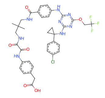 CC(C)(CNC(=O)C(=O)Nc1ccc(CC(=O)O)cc1)CNC(=O)c1ccc(Nc2nc(NC3(c4ccc(Cl)cc4)CC3)nc(OCC(F)(F)F)n2)cc1